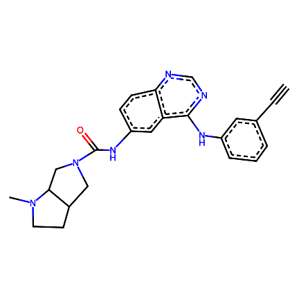 C#Cc1cccc(Nc2ncnc3ccc(NC(=O)N4CC5CCN(C)C5C4)cc23)c1